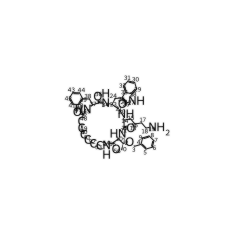 C[C@H](OCc1ccccc1)C1NC(=O)C(CCCCN)NC(=O)[C@H](Cc2c[nH]c3ccccc23)NC(=O)C(Cc2ccccc2)NC(=O)CCCCCCNC1=O